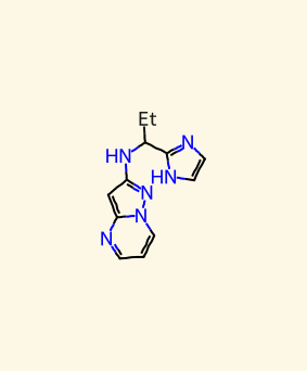 CCC(Nc1cc2ncccn2n1)c1ncc[nH]1